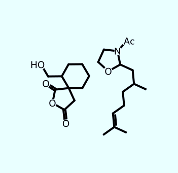 CC(=O)N1CCOC1CC(C)CCC=C(C)C.O=C1CC2(CCCCC2CO)C(=O)O1